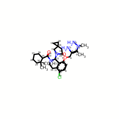 C/C(=C(/N)COc1ccc(Cl)c2c1C(N1CC3(CC3)CC1=O)N(C(=O)C1CCCC[C@]1(C)C(=O)O)CC2)N(C)N